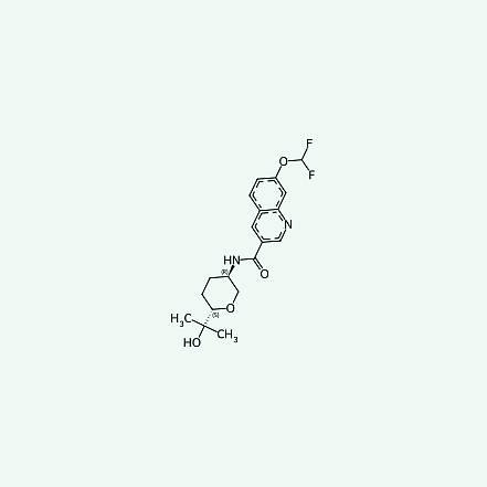 CC(C)(O)[C@@H]1CC[C@@H](NC(=O)c2cnc3cc(OC(F)F)ccc3c2)CO1